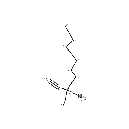 CCCCCCC(C)(N)C#N